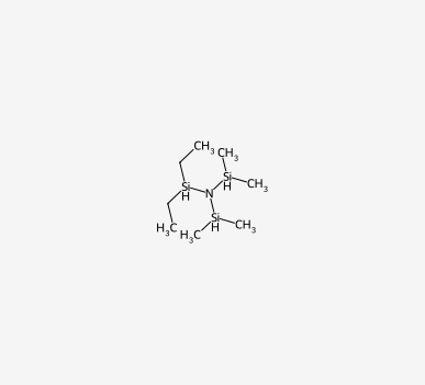 CC[SiH](CC)N([SiH](C)C)[SiH](C)C